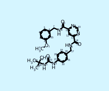 COc1cccc(CNC(=O)c2cc(C(=O)NCc3ccc(NC(=O)NC(C)(C)C)cc3)ncn2)c1